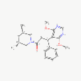 COc1ncnc(OC)c1C(CC(=O)N1C[C@H](C)C[C@H](C)C1)c1ccccc1